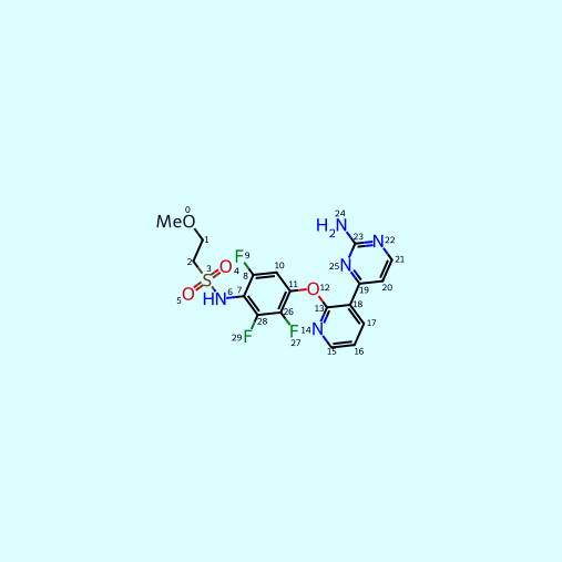 COCCS(=O)(=O)Nc1c(F)cc(Oc2ncccc2-c2ccnc(N)n2)c(F)c1F